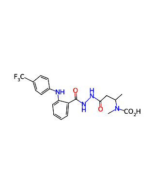 CC(CC(=O)NNC(=O)c1ccccc1Nc1ccc(C(F)(F)F)cc1)N(C)C(=O)O